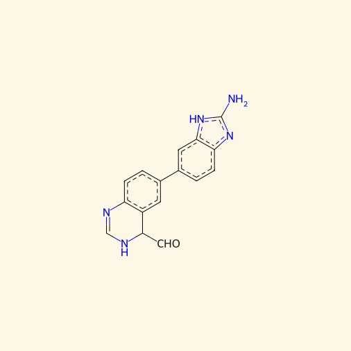 Nc1nc2ccc(-c3ccc4c(c3)C(C=O)NC=N4)cc2[nH]1